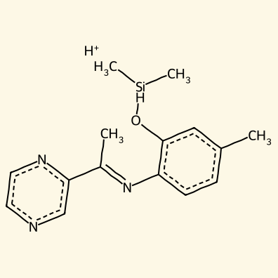 CC(=Nc1ccc(C)cc1O[SiH](C)C)c1cnccn1.[H+]